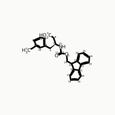 Cc1cccc(C[C@@H](CC(=O)O)NC(=O)OCC2c3ccccc3-c3ccccc32)c1